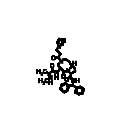 CN[C@@H](C)C(=O)N[C@H]1CN(C(=O)CCn2ccnc2)CC[C@H]2CCC(C(=O)NC(c3ccccc3)c3ccccc3)N2C1=O